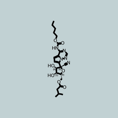 CCCCCOC(=O)Nc1ncnn2c([C@]3(C#N)O[C@H](COC(=O)CC(C)C)[C@@H](O)[C@H]3O)ccc12